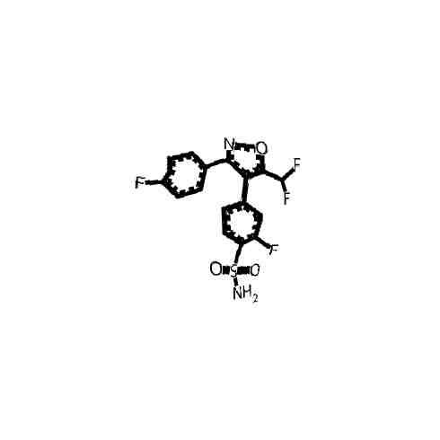 NS(=O)(=O)c1ccc(-c2c(-c3ccc(F)cc3)noc2C(F)F)cc1F